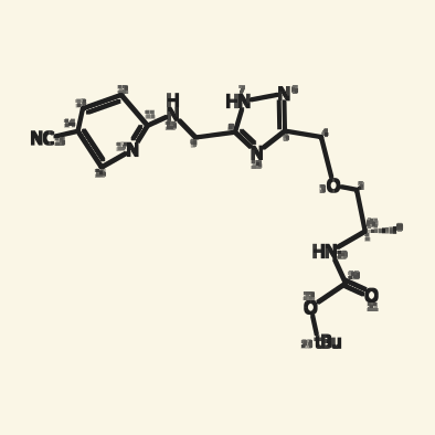 C[C@@H](COCc1n[nH]c(CNc2ccc(C#N)cn2)n1)NC(=O)OC(C)(C)C